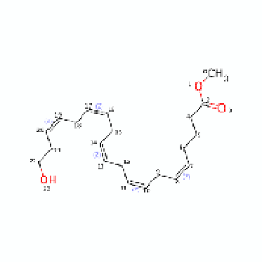 COC(=O)CCC/C=C\C/C=C\C/C=C\C/C=C\C/C=C\CCO